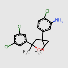 CC1CC1(CC(O)(c1cc(Cl)cc(Cl)c1)C(F)(F)F)c1ccc(Cl)c(N)c1